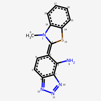 CN1C(=c2ccc3c(c2N)N=NN=3)Sc2ccccc21